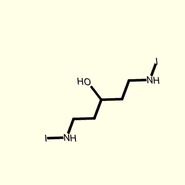 OC(CCNI)CCNI